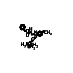 C=Cc1ccc2c(c1)nc(CNC(=O)OCc1ccccc1)n2COCC[Si](C)(C)C